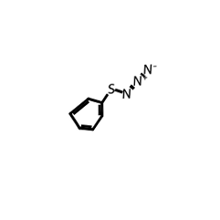 [N-]=[N+]=NSc1ccccc1